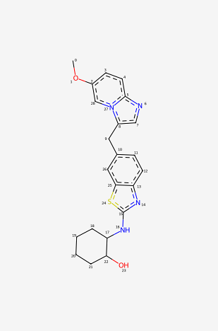 COc1ccc2ncc(Cc3ccc4nc(NC5CCCCC5O)sc4c3)n2c1